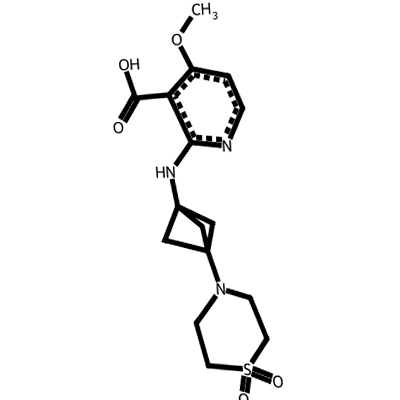 COc1ccnc(NC23CC(N4CCS(=O)(=O)CC4)(C2)C3)c1C(=O)O